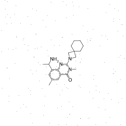 Cc1cc(C(C)N)c2nc(N3CC4(CCCCC4)C3)n(C)c(=O)c2c1